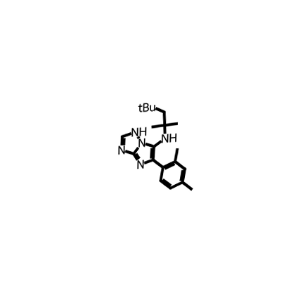 Cc1ccc(-c2nc3nc[nH]n3c2NC(C)(C)CC(C)(C)C)c(C)c1